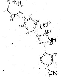 Cl.N#Cc1ccc(-c2cc(-c3ccc([C@H]4CNCCO4)cc3)n[nH]2)cc1